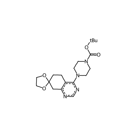 CC(C)(C)OC(=O)N1CCN(c2ncnc3c2CCC2(C3)OCCO2)CC1